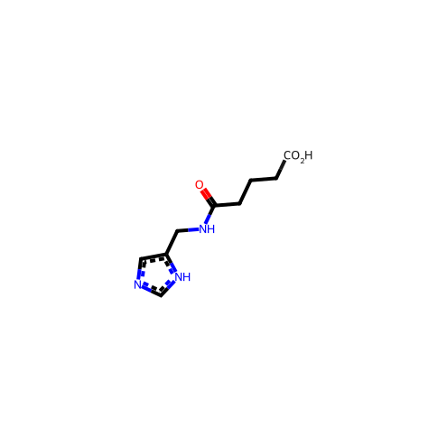 O=C(O)CCCC(=O)NCc1cnc[nH]1